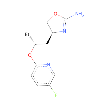 CC[C@H](C[C@H]1COC(N)=N1)Oc1ccc(F)cn1